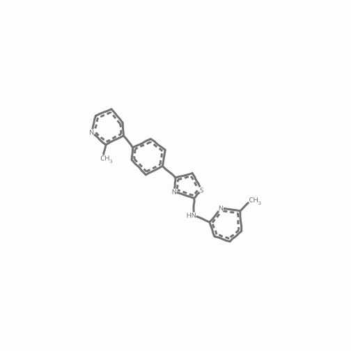 Cc1cccc(Nc2nc(-c3ccc(-c4cccnc4C)cc3)cs2)n1